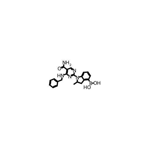 CC1Cc2c(B(O)O)cccc2N1c1ncc(C(N)=O)c(NCc2ccccc2)n1